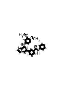 COc1ccc(Nc2nc(-c3cccc(C(=O)Nc4c[c]ccc4)c3)cn3ccnc23)cc1OC